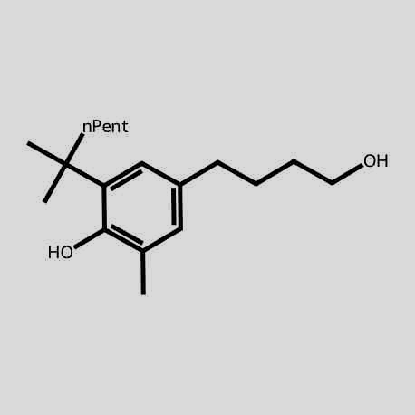 CCCCCC(C)(C)c1cc(CCCCO)cc(C)c1O